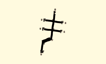 FC(F)(F)C(F)(F)C=CBr